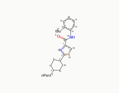 CCCCCC1CCC(c2nc(C(=O)Nc3ccccc3C(C)(C)C)cs2)CC1